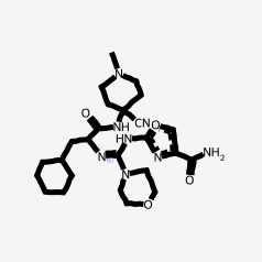 CN1CCC(C#N)(NC(=O)C(CC2CCCCC2)/N=C(\Nc2nc(C(N)=O)co2)N2CCOCC2)CC1